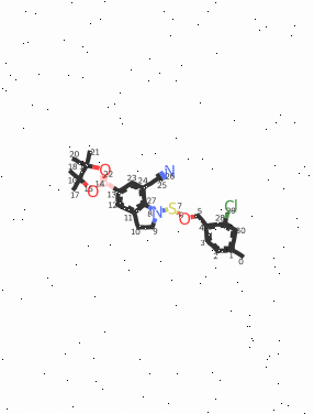 Cc1ccc(COSN2CCc3cc(B4OC(C)(C)C(C)(C)O4)cc(C#N)c32)c(Cl)c1